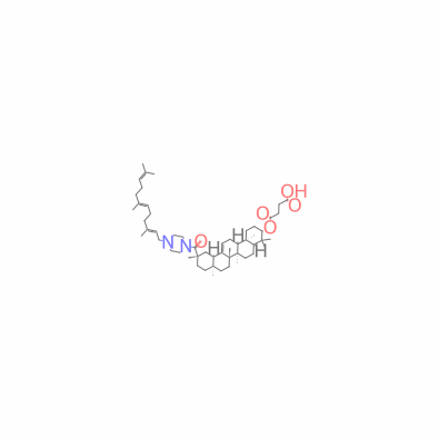 CC(C)=CCC/C(C)=C/CC/C(C)=C/CN1CCN(C(=O)[C@@]2(C)CC[C@]3(C)CC[C@]4(C)C(=CC[C@@H]5[C@@]6(C)CC[C@H](OC(=O)CCC(=O)O)C(C)(C)[C@@H]6CC[C@]54C)[C@@H]3C2)CC1